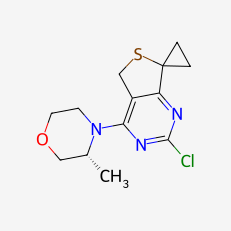 C[C@@H]1COCCN1c1nc(Cl)nc2c1CSC21CC1